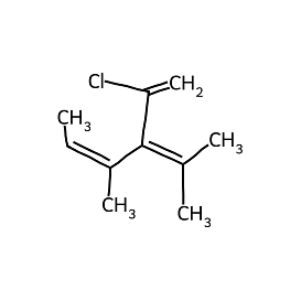 C=C(Cl)C(=C(C)C)/C(C)=C\C